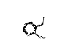 CNc1ncncc1CF